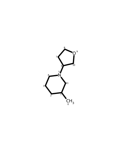 CC1CCCN(C2CCOC2)C1